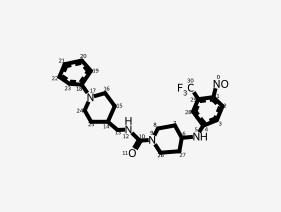 O=Nc1ccc(NC2CCN(C(=O)NCC3CCN(c4ccccc4)CC3)CC2)cc1C(F)(F)F